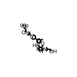 Cc1cc(C2CCN(C3CN(C(=O)CCS(C)(=O)=O)C3)CC2)cc2c1OCc1c(ncnc1N1CC(CO)C1)N2